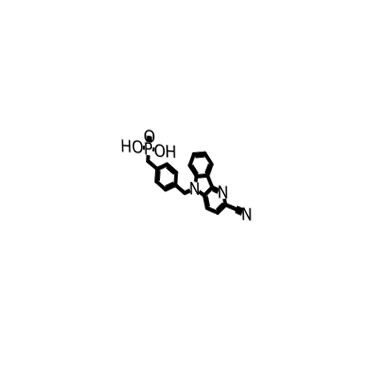 N#Cc1ccc2c(n1)c1ccccc1n2Cc1ccc(CP(=O)(O)O)cc1